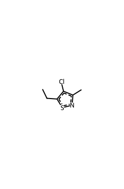 CCc1snc(C)c1Cl